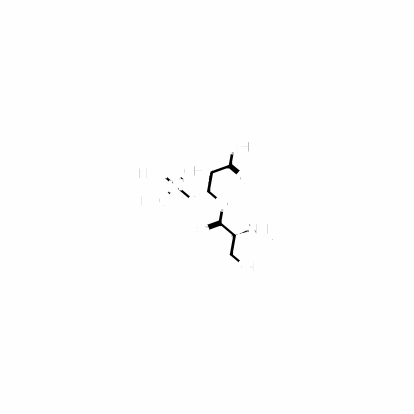 C[N+](C)(C)C[C@H](CC(=O)O)OC(=O)[C@@H](N)CO